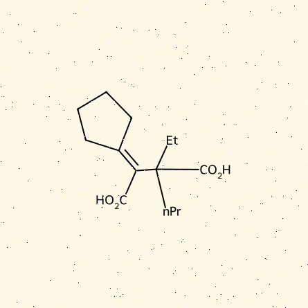 CCCC(CC)(C(=O)O)C(C(=O)O)=C1CCCC1